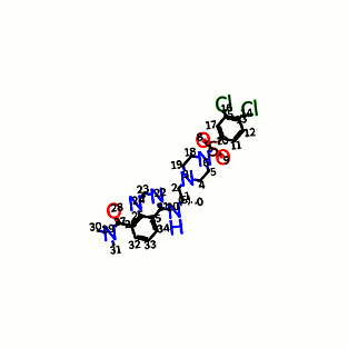 C[C@@H](CN1CCN(S(=O)(=O)c2ccc(Cl)c(Cl)c2)CC1)Nc1ncnc2c(C(=O)N(C)C)cccc12